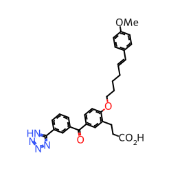 COc1ccc(C=CCCCCOc2ccc(C(=O)c3cccc(-c4nnn[nH]4)c3)cc2CCC(=O)O)cc1